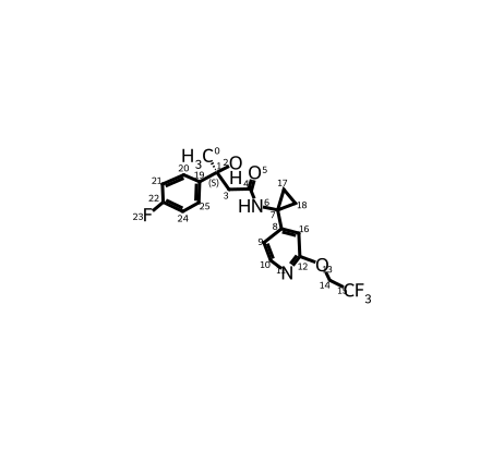 C[C@](O)(CC(=O)NC1(c2ccnc(OCC(F)(F)F)c2)CC1)c1ccc(F)cc1